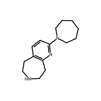 c1cc2c(nc1N1CCCCCC1)CCNCC2